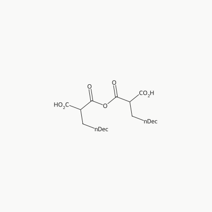 CCCCCCCCCCCC(C(=O)O)C(=O)OC(=O)C(CCCCCCCCCCC)C(=O)O